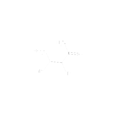 CC(C)C(C(N)=O)C(C(=O)O)C(C)C